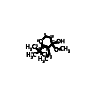 CCC1=C(C(C)(C)C)OCCC1(O)OC